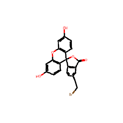 O=C1OC2(c3ccc(O)cc3Oc3cc(O)ccc32)c2ccc(CBr)cc21